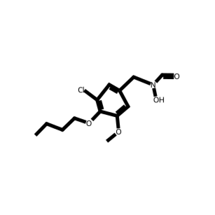 CCCCOc1c(Cl)cc(CN(O)C=O)cc1OC